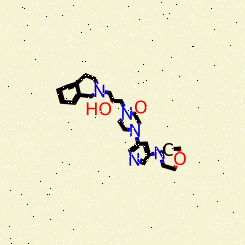 O=C1CN(c2cncc(N3CCOCC3)c2)CCN1CC(O)CN1CCc2ccccc2C1